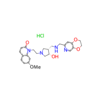 COc1ccc2ccc(=O)n(CCN3C[C@H](CNCc4cc5c(cn4)OCCO5)[C@H](O)C3)c2c1.Cl